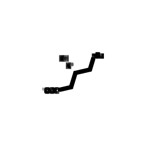 CCCCCCCC(=O)[O-].[K+].[KH]